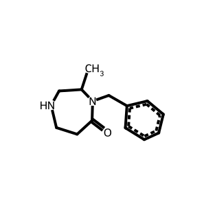 CC1CNCCC(=O)N1Cc1ccccc1